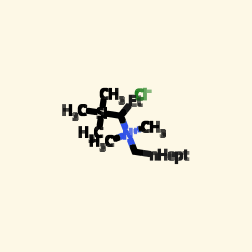 CCCCCCCC[N+](C)(C)C(CC)[Si](C)(C)C.[Cl-]